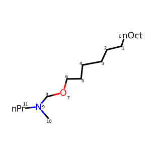 CCCCCCCCCCCCCCOCN(C)CCC